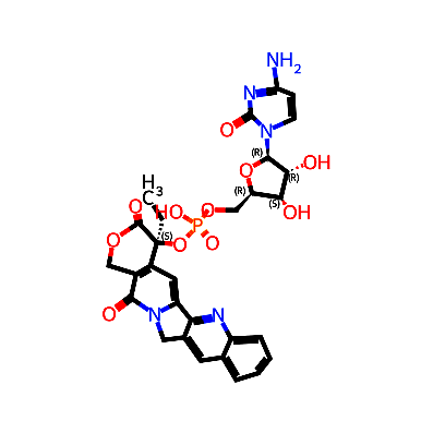 CC[C@@]1(OP(=O)(O)OC[C@H]2O[C@@H](n3ccc(N)nc3=O)[C@H](O)[C@@H]2O)C(=O)OCc2c1cc1n(c2=O)Cc2cc3ccccc3nc2-1